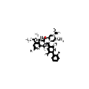 CC(C)c1cc(Br)nc(C(C)C)c1NC(=O)/N=C(/c1cc(Cl)c(-c2ccccc2F)nc1Cl)N1C[C@@H](C)N(C(=O)O)C[C@@H]1C